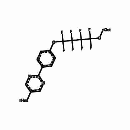 CCCCCCCCOC(F)(F)C(F)(F)C(F)(F)C(F)(F)Oc1ccc(-c2ncc(CCCCCC)cn2)cc1